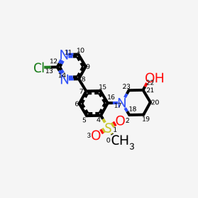 CS(=O)(=O)c1ccc(-c2ccnc(Cl)n2)cc1N1CCCC(O)C1